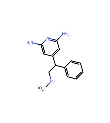 Nc1cc(C(CNC(=O)O)c2ccccc2)cc(N)n1